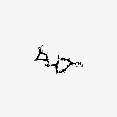 Cc1ccc(NC2CC(C(C)C)C2)nc1